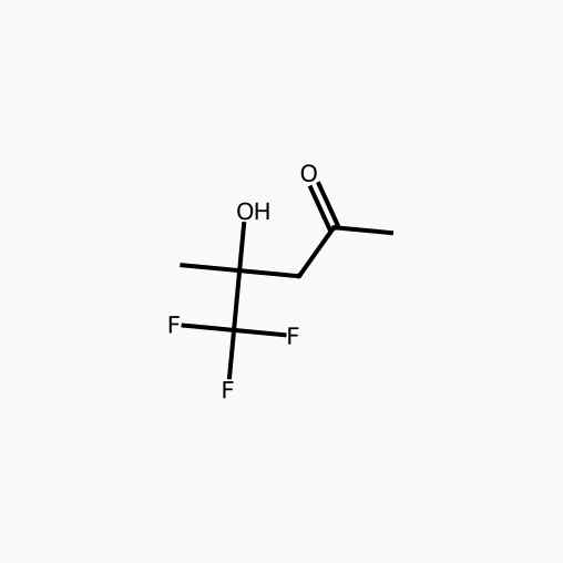 CC(=O)CC(C)(O)C(F)(F)F